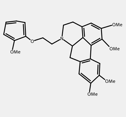 COc1cc2c(cc1OC)-c1c(OC)c(OC)cc3c1C(C2)N(CCOc1ccccc1OC)CC3